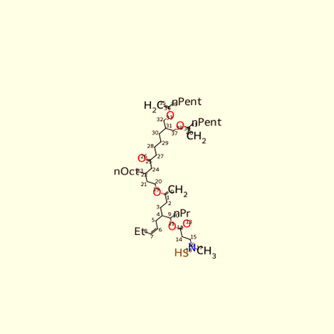 C=C(CCC(C/C=C\CC)C(CCC)OC(=O)CCN(C)S)OCCC(CCCCCCCC)CC(=O)CCCCC(COC(=C)CCCCC)COC(=C)CCCCC